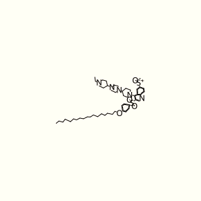 CCCCCCCCCCCCCCCCCCOc1ccc(S(=O)(=O)c2cnc3ccc([S+](C)[O-])cc3c2N2CCC(N3CCN(C4CCN(CC)CC4)CC3)CC2)cc1